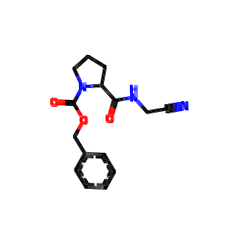 N#CCNC(=O)C1CCCN1C(=O)OCc1ccccc1